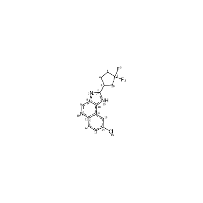 FC1(F)CCC(c2nc3cnc4ccc(Cl)cc4c3[nH]2)C1